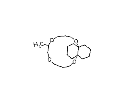 CC1COCCCOC23CCCCC2(CCCC3)OCCCO1